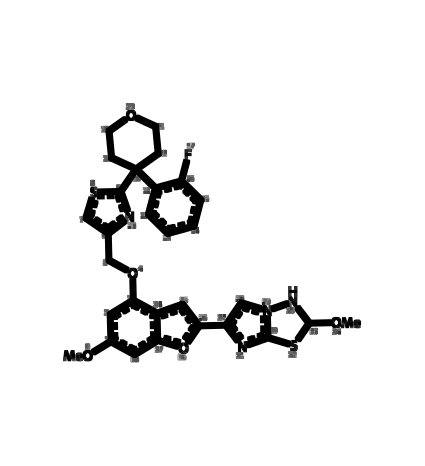 COc1cc(OCc2csc(C3(c4ccccc4F)CCOCC3)n2)c2cc(-c3cn4c(n3)SC(OC)N4)oc2c1